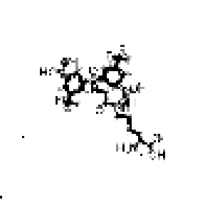 N[C@@H](CCCCNC(=O)CN=S(=O)(c1cc(B(O)O)cc(C(F)(F)F)c1)c1cc(B(O)O)cc(C(F)(F)F)c1)C(=O)O